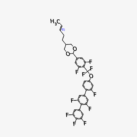 C/C=C/CCC1COC(c2cc(F)c(C(F)(F)Oc3ccc(-c4cc(F)c(-c5cc(F)c(F)c(F)c5)c(F)c4)c(F)c3)c(F)c2)OC1